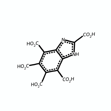 O=C(O)c1nc2c(C(=O)O)c(C(=O)O)c(C(=O)O)c(C(=O)O)c2[nH]1